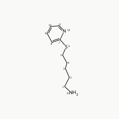 NCCCCCSc1ccccn1